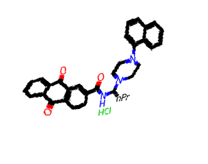 CCCC(NC(=O)c1ccc2c(c1)C(=O)c1ccccc1C2=O)N1CCN(c2cccc3ccccc23)CC1.Cl